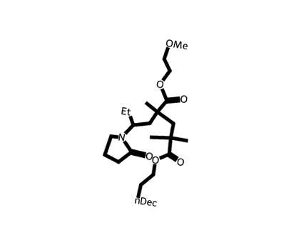 CCCCCCCCCCCCOC(=O)C(C)(C)CC(C)(CC(CC)N1CCCC1=O)C(=O)OCCOC